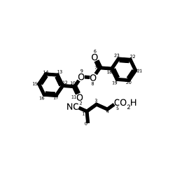 CC(C#N)CCC(=O)O.O=C(OOC(=O)c1ccccc1)c1ccccc1